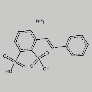 N.O=S(=O)(O)c1cccc(C=Cc2ccccc2)c1S(=O)(=O)O